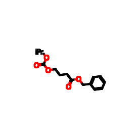 CC(C)OC(=O)OCCCC(=O)OCc1ccccc1